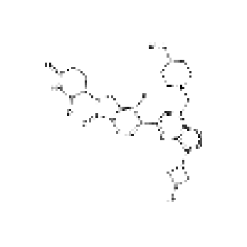 COC1CCN(Cc2cc(-c3ccc4c(c3F)CN(C3CCC(=O)NC3=O)C4=O)nc3c2ccn3C2C[S+]([O-])C2)CC1